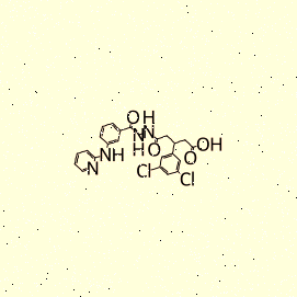 O=C(O)CC(CC(=O)NNC(=O)c1cccc(Nc2ccccn2)c1)c1cc(Cl)cc(Cl)c1